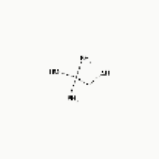 BC(B)(O)CS